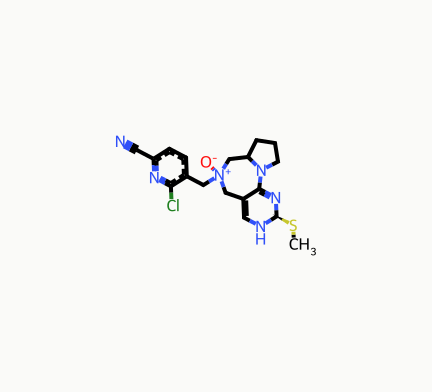 CS[C@@H]1N=C2C(=CN1)C[N+]([O-])(Cc1ccc(C#N)nc1Cl)CC1CCCN21